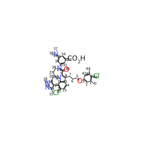 Cc1cc(OCCCc2c3n(c4c(-c5c(C)nn(C)c5C)c(Cl)ccc24)CCCN(c2cc(C(=O)O)cc(N(C)C)c2)C3=O)cc(C)c1Cl